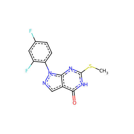 CSc1nc2c(cnn2-c2ccc(F)cc2F)c(=O)[nH]1